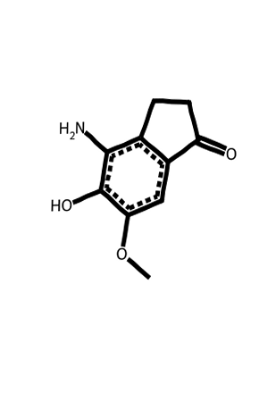 COc1cc2c(c(N)c1O)CCC2=O